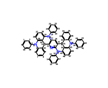 c1ccc(N2c3ccccc3B3c4nc5c(cc4N(c4ccccc4)c4cccc2c43)B2c3ccccc3N(c3ccccc3)c3cccc(c32)N5c2ccccc2)cc1